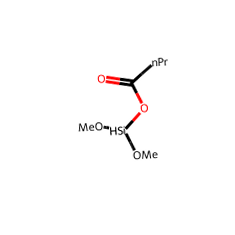 CCCC(=O)O[SiH](OC)OC